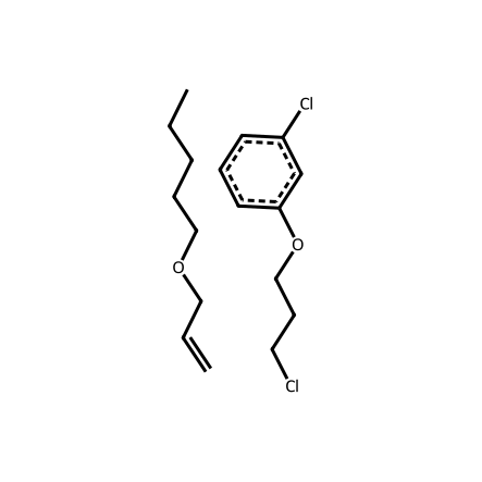 C=CCOCCCCC.ClCCCOc1cccc(Cl)c1